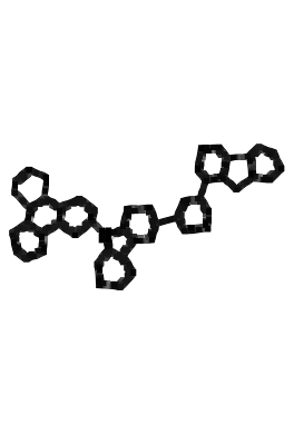 C1=CCc2c(c3ccccc3c3cc(-n4c5ccccc5c5cc(-c6cccc(-c7cccc8c7Cc7ccccc7-8)c6)ccc54)ccc23)C1